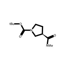 CNC(=O)[C@@H]1CCN(C(=O)OC(C)(C)C)C1